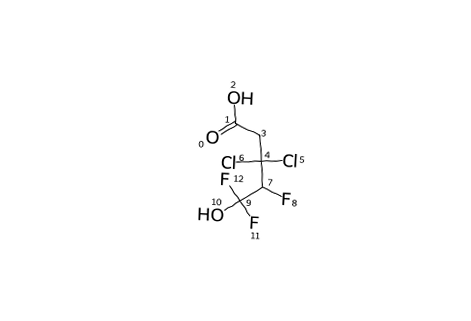 O=C(O)CC(Cl)(Cl)C(F)C(O)(F)F